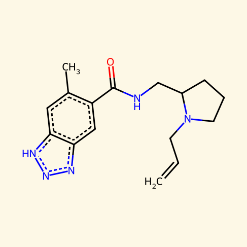 C=CCN1CCCC1CNC(=O)c1cc2nn[nH]c2cc1C